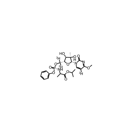 [2H]c1cn([C@@H]2O[C@H](C([2H])([2H])O[P@@](=O)(NC(C)C(=O)OC(C)C)Oc3ccccc3)[C@@H](O)[C@@]2(C)O)c(=O)nc1OC